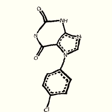 O=C1[N]C(=O)c2c(ncn2-c2ccc(Cl)cc2)N1